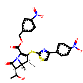 CC(O)[C@H]1C(=O)N2C(C(=O)OCc3ccc([N+](=O)[O-])cc3)=C(Sc3nc(-c4ccc([N+](=O)[O-])cc4)cs3)[C@H](C)[C@H]12